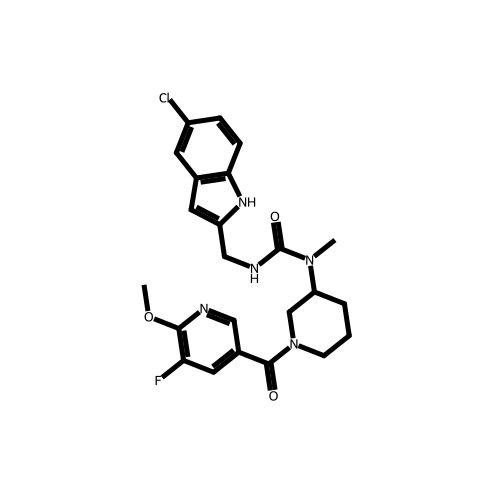 COc1ncc(C(=O)N2CCCC(N(C)C(=O)NCc3cc4cc(Cl)ccc4[nH]3)C2)cc1F